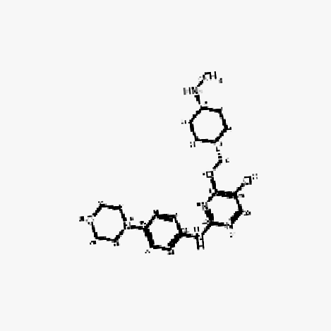 CN[C@H]1CC[C@H](COc2nc(Nc3ccc(N4CCOCC4)cc3)ncc2Cl)CC1